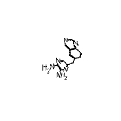 Nc1ncc(Cc2ccc3ncncc3c2)nc1N